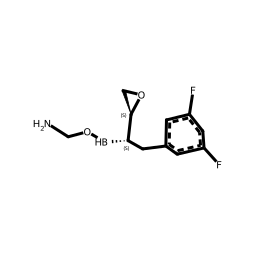 NCOB[C@@H](Cc1cc(F)cc(F)c1)[C@H]1CO1